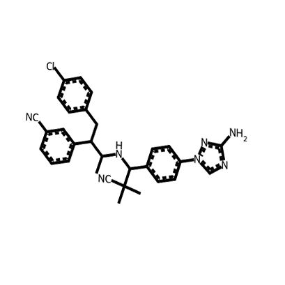 CC(NC(c1ccc(-n2cnc(N)n2)cc1)C(C)(C)C#N)C(Cc1ccc(Cl)cc1)c1cccc(C#N)c1